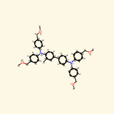 COCc1ccc(N(c2ccc(COC)cc2)c2ccc(-c3ccc(N(c4ccc(COC)cc4)c4ccc(COC)cc4)c(C)c3)cc2)cc1